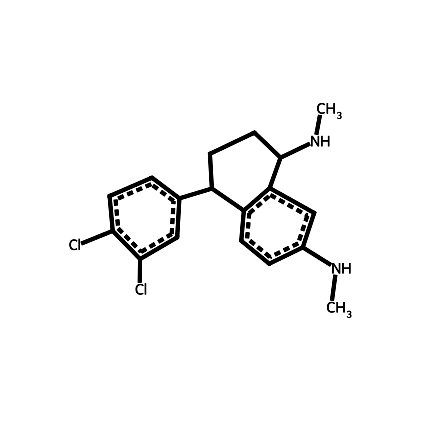 CNc1ccc2c(c1)C(NC)CCC2c1ccc(Cl)c(Cl)c1